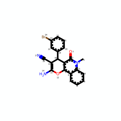 Cn1c(=O)c2c(c3ccccc31)OC(N)=C(C#N)C2c1cccc(Br)c1